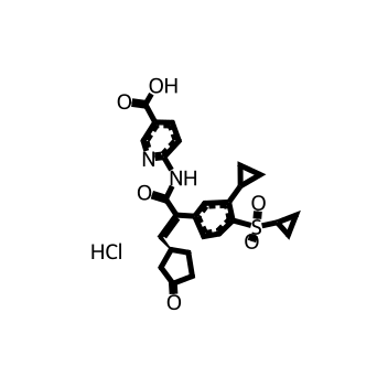 Cl.O=C1CC[C@H](C=C(C(=O)Nc2ccc(C(=O)O)cn2)c2ccc(S(=O)(=O)C3CC3)c(C3CC3)c2)C1